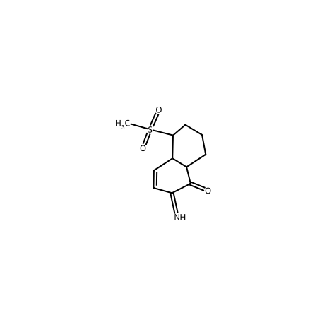 CS(=O)(=O)C1CCCC2C(=O)C(=N)C=CC21